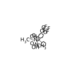 CC(C)Cn1c(N(C)C(=O)O)c(-c2ccccc2)c2ccc(OS(=O)(=O)C(F)(F)F)cc2c1=O